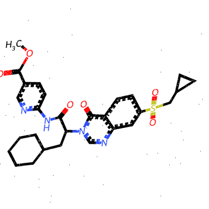 COC(=O)c1ccc(NC(=O)C(CC2CCCCC2)n2cnc3cc(S(=O)(=O)CC4CC4)ccc3c2=O)nc1